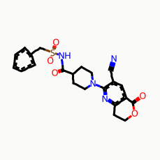 N#Cc1cc2c(nc1N1CCC(C(=O)NS(=O)(=O)Cc3ccccc3)CC1)CCOC2=O